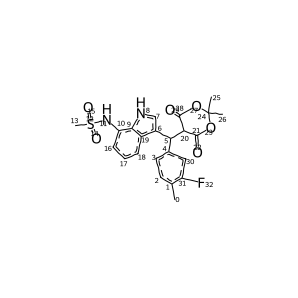 Cc1ccc(C(c2c[nH]c3c(NS(C)(=O)=O)cccc23)C2C(=O)OC(C)(C)OC2=O)cc1F